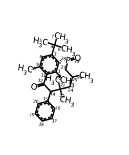 Cc1cc(C(C)(C)C)cc(C)c1C(=O)C(c1ccccc1)C(C)(C)CC(C)CP=O